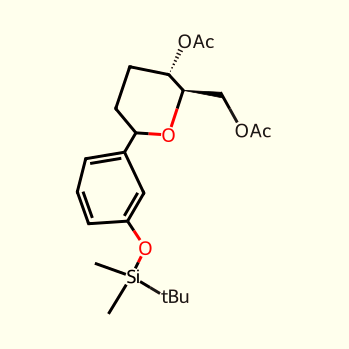 CC(=O)OC[C@H]1OC(c2cccc(O[Si](C)(C)C(C)(C)C)c2)CC[C@@H]1OC(C)=O